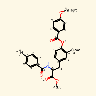 CCCCCCCOc1ccc(C(=O)Oc2ccc(CC(NC(=O)c3ccc([N+](=O)[O-])cc3)C(=O)OC(C)(C)C)cc2OC)cc1